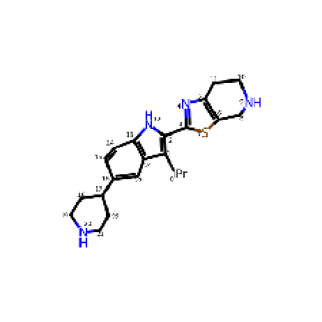 CC(C)c1c(-c2nc3c(s2)CNCC3)[nH]c2ccc(C3CCNCC3)cc12